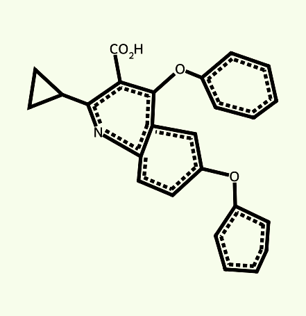 O=C(O)c1c(C2CC2)nc2ccc(Oc3ccccc3)cc2c1Oc1ccccc1